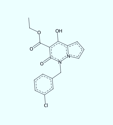 CCOC(=O)c1c(O)c2cccn2n(Cc2cccc(Cl)c2)c1=O